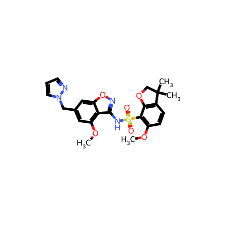 COc1ccc2c(c1S(=O)(=O)Nc1noc3cc(Cn4cccn4)cc(OC)c13)OCC2(C)C